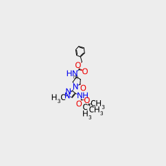 Cn1cc(NC(=O)OC(C)(C)C)c(N2C[C@@H](NC(=O)OCc3ccccc3)CC2=O)n1